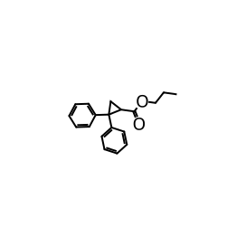 CCCOC(=O)C1CC1(c1ccccc1)c1ccccc1